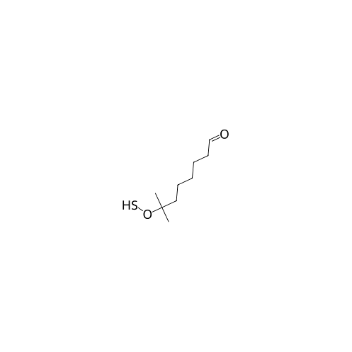 CC(C)(CCCCCC=O)OS